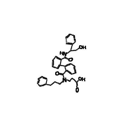 O=C(O)CCN(CCCc1ccccc1)C(=O)c1ccccc1-c1ccccc1C(=O)NC(CO)c1ccccc1